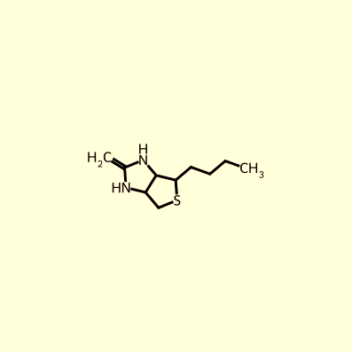 C=C1NC2CSC(CCCC)C2N1